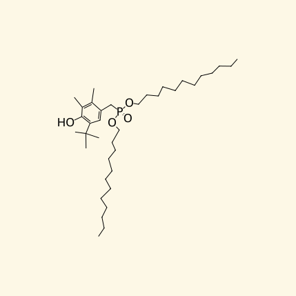 CCCCCCCCCCCCOP(=O)(Cc1cc(C(C)(C)C)c(O)c(C)c1C)OCCCCCCCCCCCC